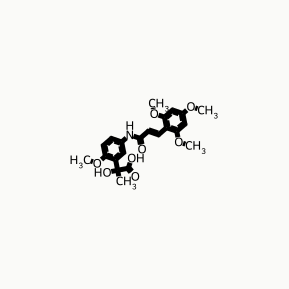 COc1cc(OC)c(C=CC(=O)Nc2ccc(OC)c(C(C)(O)C(=O)O)c2)c(OC)c1